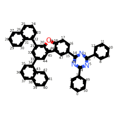 c1ccc(-c2nc(-c3ccccc3)nc(-c3ccc4oc5c(-c6cccc7ccccc67)cc(-c6cccc7ccccc67)cc5c4c3)n2)cc1